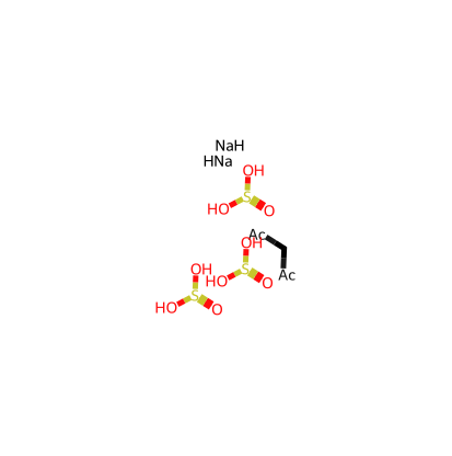 CC(=O)CC(C)=O.O=S(O)O.O=S(O)O.O=S(O)O.[NaH].[NaH]